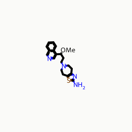 COC(CCN1CCc2nc(N)sc2CC1)c1cncc2ccccc12